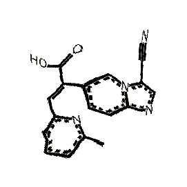 Cc1cccc(/C=C(/C(=O)O)c2ccc3ncc(C#N)n3c2)n1